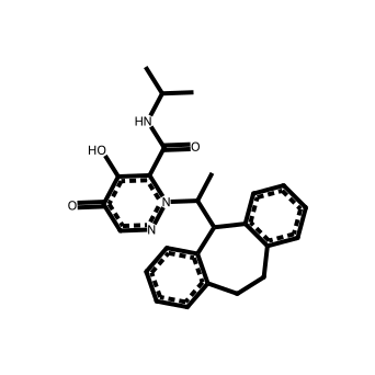 CC(C)NC(=O)c1c(O)c(=O)cnn1C(C)C1c2ccccc2CCc2ccccc21